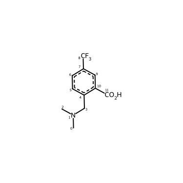 CN(C)Cc1ccc(C(F)(F)F)cc1C(=O)O